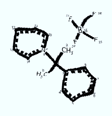 CC(C)(c1ccccc1)[n+]1ccccc1.F[B-](F)(F)F